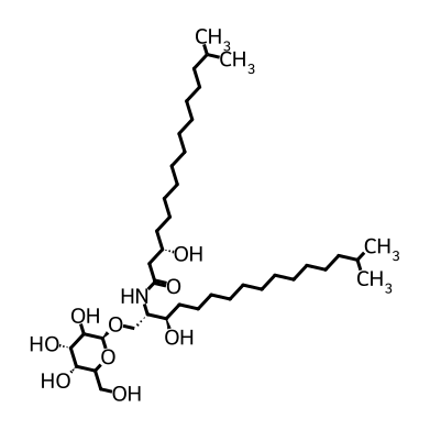 CC(C)CCCCCCCCCCC[C@H](O)CC(=O)N[C@@H](CO[C@H]1OC(CO)[C@H](O)[C@H](O)C1O)[C@H](O)CCCCCCCCCCCC(C)C